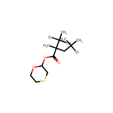 CCC(C)(C)CC(C)(C(=O)OC1CSCCO1)C(C)(C)CC